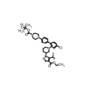 CCOC(=O)c1cnn(C2CCCN(c3cc(Cl)ccc3-c3ccc(N4CCN(C(=O)OC(C)(C)C)CC4)cc3)C2)c1C(F)F